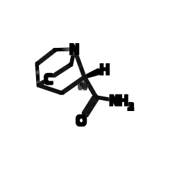 NC(=O)[C@@H]1CC2CCN1CC2